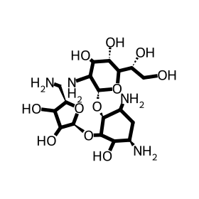 NC[C@H]1O[C@@H](OC2C(O)[C@H](N)CC(N)[C@H]2O[C@H]2OC([C@H](O)CO)[C@@H](O)C(O)C2N)C(O)C1O